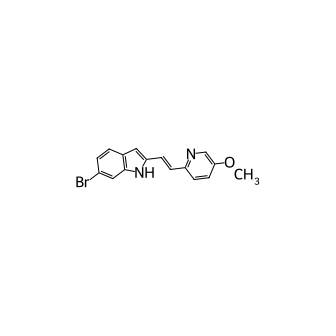 COc1ccc(/C=C/c2cc3ccc(Br)cc3[nH]2)nc1